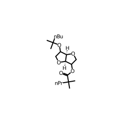 CCCCC(C)(C)OC1CO[C@@H]2C(OC(=O)C(C)(C)CCC)CO[C@H]12